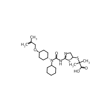 C=C(C)CO[C@H]1CC[C@H](N(C(=O)NC2=NCC(SC(C)(C)C(=O)O)S2)C2CCCCC2)CC1